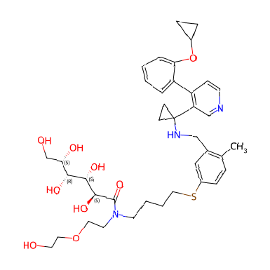 Cc1ccc(SCCCCN(CCOCCO)C(=O)[C@@H](O)[C@@H](O)[C@H](O)[C@@H](O)CO)cc1CNC1(c2cnccc2-c2ccccc2OC2CC2)CC1